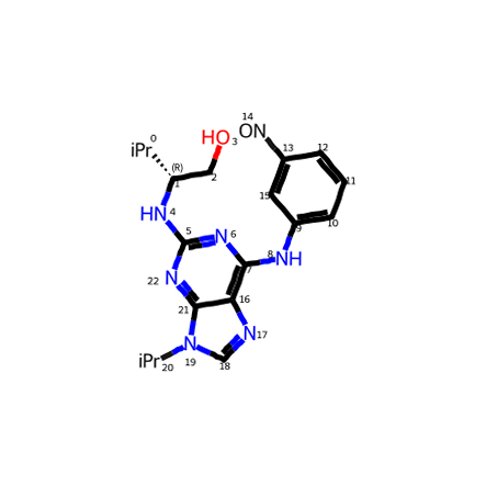 CC(C)[C@H](CO)Nc1nc(Nc2cccc(N=O)c2)c2ncn(C(C)C)c2n1